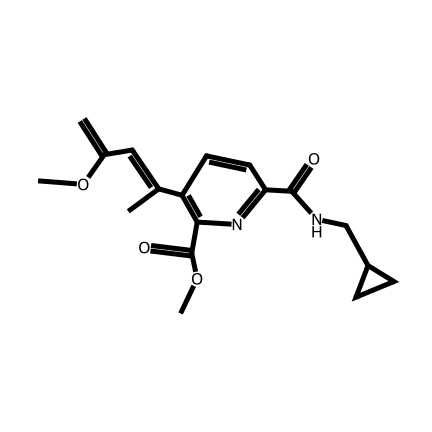 C=C(/C=C(\C)c1ccc(C(=O)NCC2CC2)nc1C(=O)OC)OC